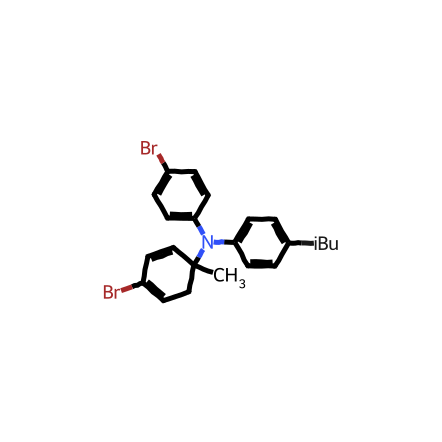 CCC(C)c1ccc(N(c2ccc(Br)cc2)C2(C)C=CC(Br)=CC2)cc1